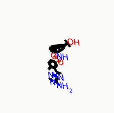 Cc1ccc(S(=O)(=O)NC23C4C5C26C3C2C6C53C4C23C(C)(C)O)cc1-c1cnc2c(N)ncnn12